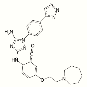 Nc1nc(NC2C=CC(OCCN3CCCCCC3)=CC2=C=O)nn1-c1ccc(-c2csnn2)cc1